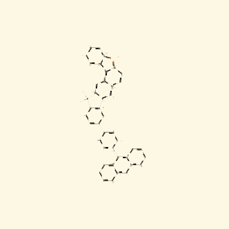 CC1(C)c2ccc(-c3ccc(-c4c5ccccc5cc5ccccc45)cc3)cc2-c2cc3ccc4sc5ccccc5c4c3cc21